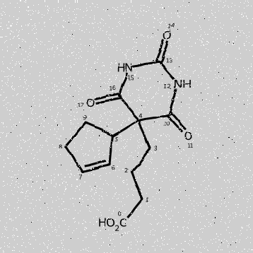 O=C(O)CCCC1(C2C=CCC2)C(=O)NC(=O)NC1=O